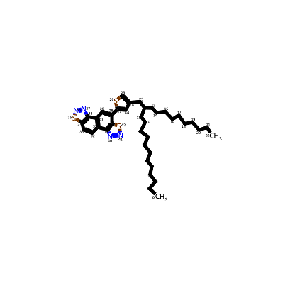 CCCCCCCCCCCCC(CCCCCCCCCC)Cc1csc(-c2cc3c(ccc4snnc43)c3nnsc23)c1